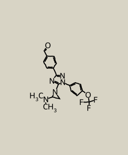 CN(C)C1CN1c1nc(-c2ccc(C=O)cc2)nn1-c1ccc(OC(F)(F)F)cc1